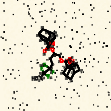 O=C(OCC(CCC(F)(F)C(F)(F)S(=O)(=O)O)OC(=O)C12CC3CC(C1)C(O)C(C3)C2)C12CC3CC(C1)C(O)C(C3)C2